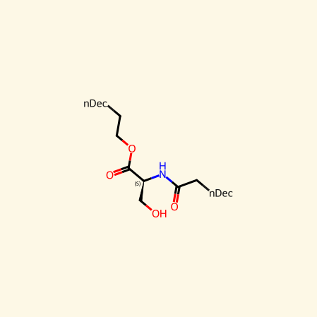 CCCCCCCCCCCCOC(=O)[C@H](CO)NC(=O)CCCCCCCCCCC